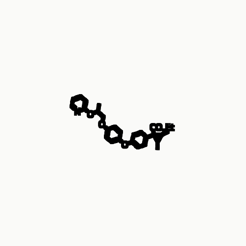 CCOC(=O)C1(c2ccc(Oc3ccc(OCC(C)Oc4ccccn4)cc3)cc2)C(C)C1C